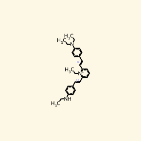 CCNc1ccc(/C=C/c2cccc(/C=C/c3ccc(N(CC)CC)cc3)[n+]2CC)cc1